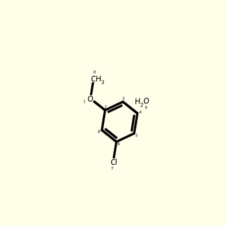 COc1cccc(Cl)c1.O